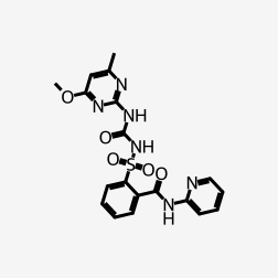 COc1cc(C)nc(NC(=O)NS(=O)(=O)c2ccccc2C(=O)Nc2ccccn2)n1